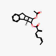 C=C(/C=C\C=C/C)C(=O)OC1C(OC(C)=O)C2C3Cc4ccccc4C3[C@@H]12